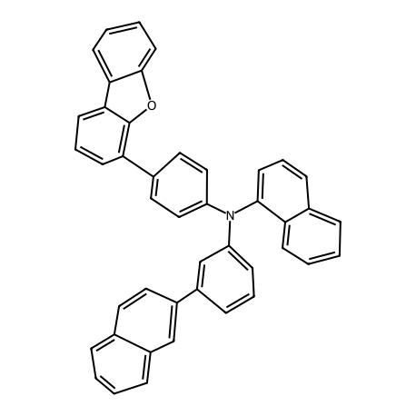 c1cc(-c2ccc3ccccc3c2)cc(N(c2ccc(-c3cccc4c3oc3ccccc34)cc2)c2cccc3ccccc23)c1